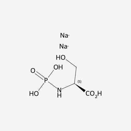 O=C(O)[C@H](CO)NP(=O)(O)O.[Na].[Na]